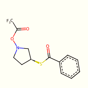 O=C(S[C@H]1CCN(OC(=O)C(F)(F)F)C1)c1ccccc1